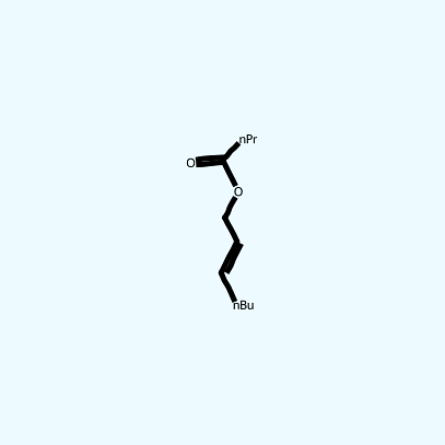 CCCCC=CCOC(=O)CCC